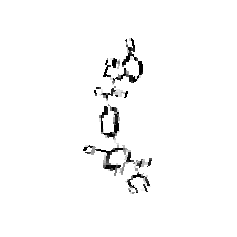 CCC(CO)Nc1ncc(Cl)c(-c2ccc(C(=O)NC(CO)c3cccc(Cl)c3)cc2)n1